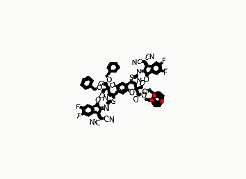 N#CC(C#N)=C1/C(=N/c2nc3c(s2)-c2cc4c(cc2OC3(C(=O)OCc2ccccc2)C(=O)OCc2ccccc2)-c2sc(/N=C3\C(=O)c5cc(F)c(F)cc5C3=C(C#N)C#N)nc2C(C(=O)OCc2ccccc2)(C(=O)OCc2ccccc2)O4)C(=O)c2cc(F)c(F)cc21